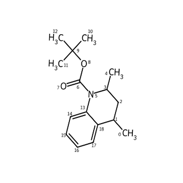 CC1CC(C)N(C(=O)OC(C)(C)C)c2ccccc21